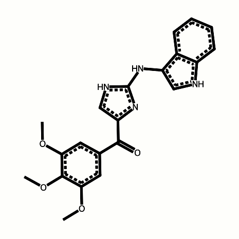 COc1cc(C(=O)c2c[nH]c(Nc3c[nH]c4ccccc34)n2)cc(OC)c1OC